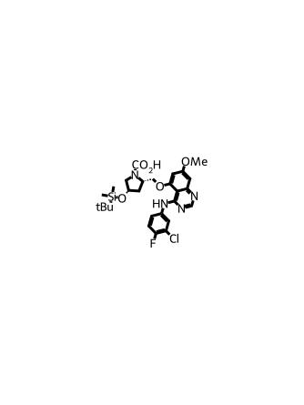 COc1cc(OC[C@@H]2C[C@H](O[Si](C)(C)C(C)(C)C)CN2C(=O)O)c2c(Nc3ccc(F)c(Cl)c3)ncnc2c1